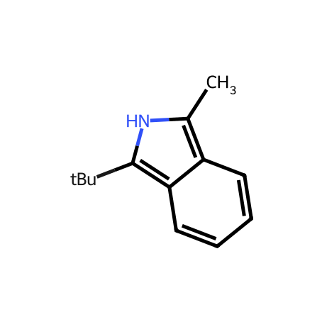 Cc1[nH]c(C(C)(C)C)c2ccccc12